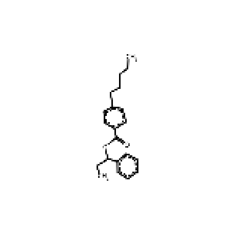 CCCCCc1ccc(C(=O)OC(CC)c2ccccc2)cc1